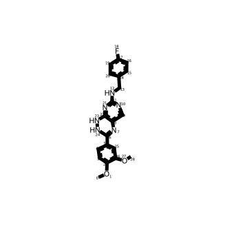 COc1ccc(C2=Nc3cnc(NCc4ccc(F)cc4)nc3NN2)cc1OC